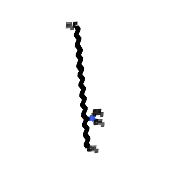 C=CCCCCC(CCCCCCCCCC=CCC=CCCCCC)N(C)C